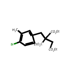 CCOC(=O)CC(Cc1ccc(Br)c(C)c1)(C(=O)OCC)C(=O)OCC